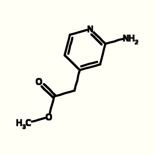 COC(=O)Cc1ccnc(N)c1